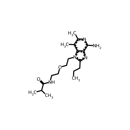 CCCc1nc2c(N)nc(C)c(C)c2n1CCOCCNC(=O)C(C)C